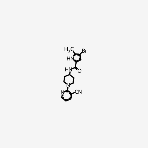 Cc1[nH]c(C(=O)NC2CCN(c3ncccc3C#N)CC2)cc1Br